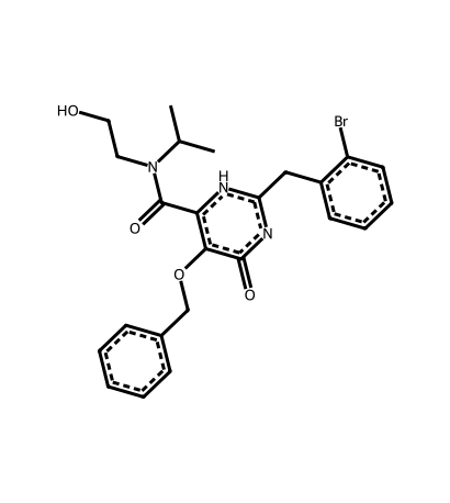 CC(C)N(CCO)C(=O)c1[nH]c(Cc2ccccc2Br)nc(=O)c1OCc1ccccc1